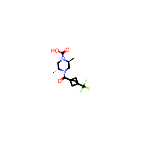 C[C@@H]1CN(C(=O)O)[C@@H](C)CN1C(=O)C12CC(C(F)(F)F)(C1)C2